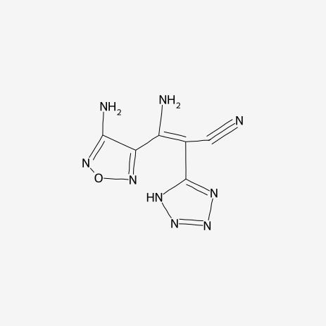 N#CC(=C(N)c1nonc1N)c1nnn[nH]1